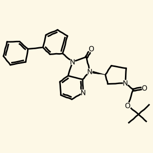 CC(C)(C)OC(=O)N1CC[C@H](n2c(=O)n(-c3cccc(-c4ccccc4)c3)c3cccnc32)C1